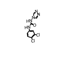 O=C(Nc1ccc(Cl)c(Cl)c1)Nn1cnnc1